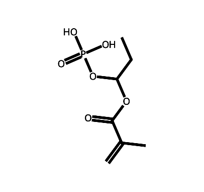 C=C(C)C(=O)OC(CC)OP(=O)(O)O